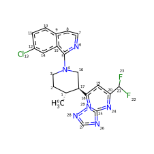 C[C@@H]1CCN(c2nccc3ccc(Cl)cc23)C[C@H]1c1cc(C(F)F)nc2ncnn12